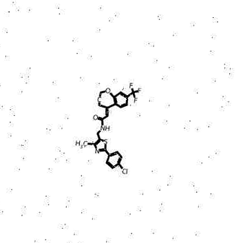 Cc1nc(-c2ccc(Cl)cc2)sc1CNC(=O)/C=C1\CCCOc2cc(C(F)(F)F)ccc21